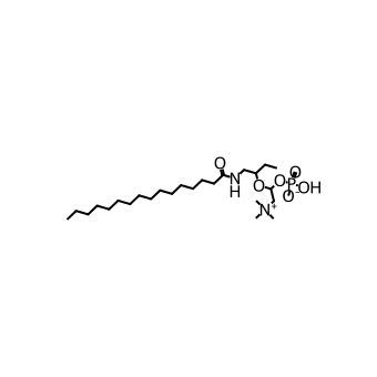 CCCCCCCCCCCCCCCC(=O)NCC(CC)OC(C[N+](C)(C)C)OP(=O)([O-])O